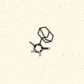 Cc1[nH][nH]c(=O)c1C12CC3CC(CC(C3)C1)C2